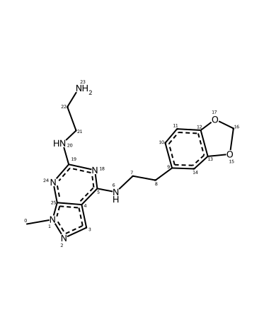 Cn1ncc2c(NCCc3ccc4c(c3)OCO4)nc(NCCN)nc21